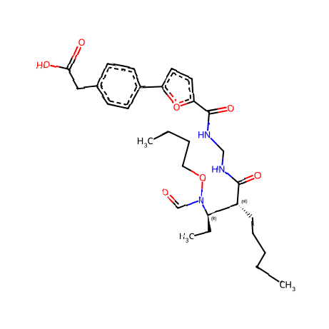 CCCCC[C@@H](C(=O)NCNC(=O)c1ccc(-c2ccc(CC(=O)O)cc2)o1)[C@@H](CC)N(C=O)OCCCC